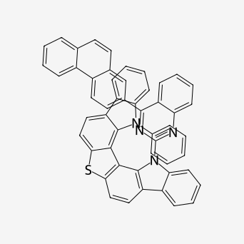 c1ccc(-n2c3ccccc3c3ccc4sc5ccc6c7ccccc7n(-c7nc(-c8ccc9c(ccc%10ccccc%109)c8)c8ccccc8n7)c6c5c4c32)cc1